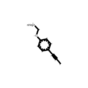 CC#Cc1ccc(OCCCCCCCC)cc1